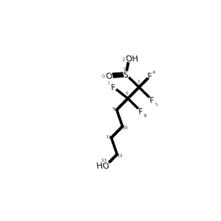 O=S(O)C(F)(F)C(F)(F)CCCCO